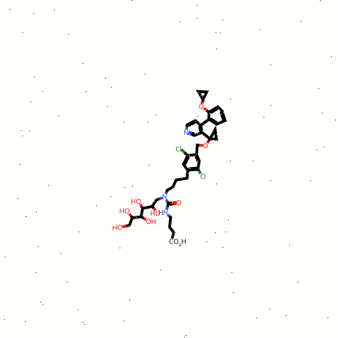 O=C(O)CCCNC(=O)N(CCCCc1cc(Cl)c(COC2(c3cnccc3-c3ccccc3OC3CC3)CC2)cc1Cl)CC(O)C(O)C(O)C(O)CO